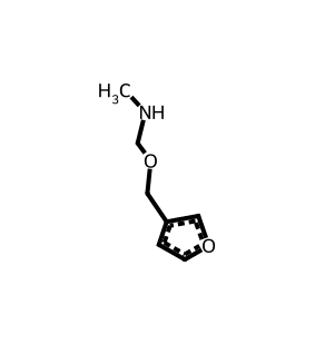 CNCOCc1ccoc1